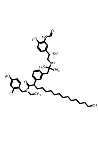 CCCCCCCCCCCCCCC(C(=O)N(CC)Cc1ccc(O)cc1Cl)c1cccc(CC(C)(C)NC[C@@H](O)c2ccc(O)c(NC=O)c2)c1